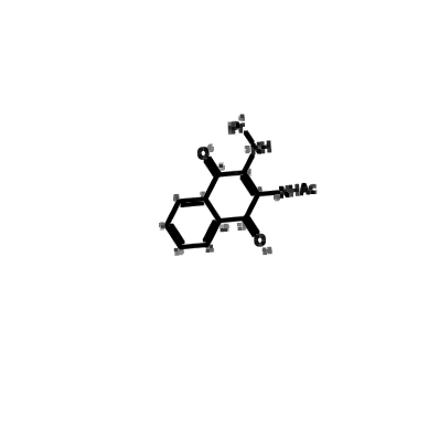 CC(=O)NC1=C(NC(C)C)C(=O)c2ccccc2C1=O